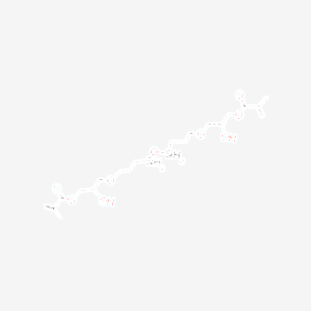 C=C(C)C(=O)OCC(O)COCCC[SiH2]O[SiH2]CCCOCC(O)COC(=O)C(=C)C